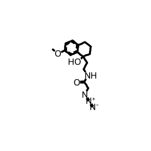 COc1ccc2c(c1)C(O)(CCNC(=O)CN=[N+]=[N-])CCC2